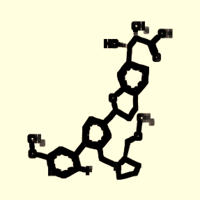 COC[C@H]1CCCN1Cc1cc(C2CCc3ccc([C@H](O)[C@H](C)C(=O)O)cc3O2)ccc1-c1cc(OC)ncc1F